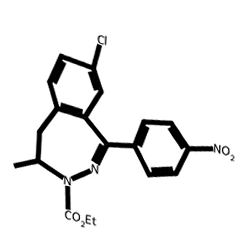 CCOC(=O)N1N=C(c2ccc([N+](=O)[O-])cc2)c2cc(Cl)ccc2CC1C